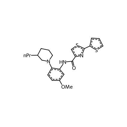 CCCC1CCCN(c2ccc(OC)cc2NC(=O)c2csc(-c3cccs3)n2)C1